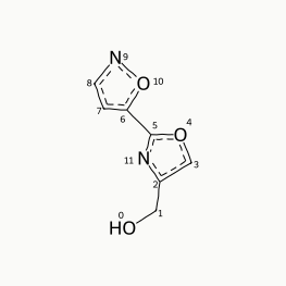 OCc1coc(-c2ccno2)n1